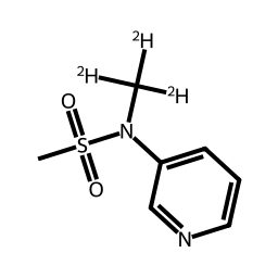 [2H]C([2H])([2H])N(c1cccnc1)S(C)(=O)=O